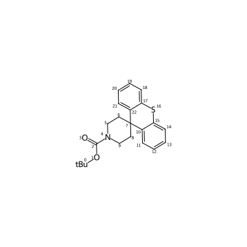 CC(C)(C)OC(=O)N1CCC2(CC1)c1ccccc1Sc1ccccc12